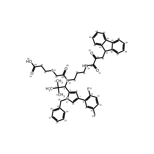 CC(C)(C)C(c1cc(-c2cc(F)ccc2F)cn1Cc1ccccc1)N(CCCNC(=O)C(=O)CC1c2ccccc2-c2ccccc21)C(=O)CSCCC(=O)O